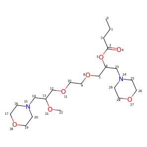 CCCC(=O)OC(COCCOCC(CN1CCOCC1)OC)CN1CCOCC1